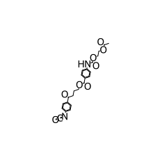 CC(=O)OCCOC(=O)Nc1ccc(C(=O)OCCCC(=O)c2ccc(N=C=O)cc2)cc1